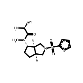 CCC[C@H](N)C(=O)N(C)[C@H]1CC[C@@H]2CN(S(=O)(=O)c3cccs3)C[C@@H]21